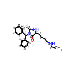 CCNCCCCC1NC(C)N(C(c2ccccc2)c2ccccc2)C1=O